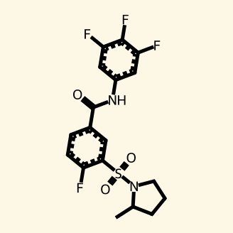 CC1CCCN1S(=O)(=O)c1cc(C(=O)Nc2cc(F)c(F)c(F)c2)ccc1F